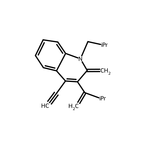 C#CC1=C(C(=C)C(C)C)C(=C)N(CC(C)C)c2ccccc21